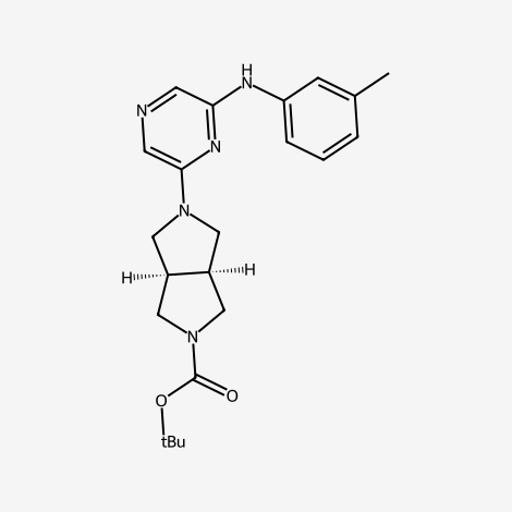 Cc1cccc(Nc2cncc(N3C[C@H]4CN(C(=O)OC(C)(C)C)C[C@H]4C3)n2)c1